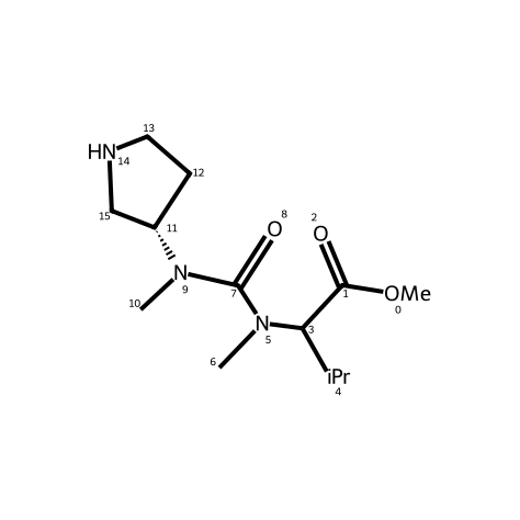 COC(=O)C(C(C)C)N(C)C(=O)N(C)[C@H]1CCNC1